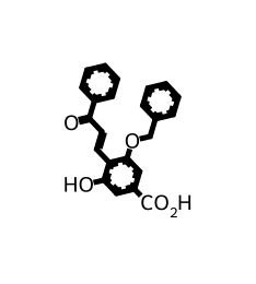 O=C(O)c1cc(O)c(C=CC(=O)c2ccccc2)c(OCc2ccccc2)c1